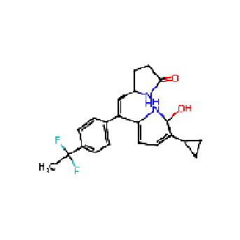 CC(F)(F)c1ccc(/C(=C/[C@H]2CCC(=O)N2)C2=CC=C(C3CC3)C(O)N2)cc1